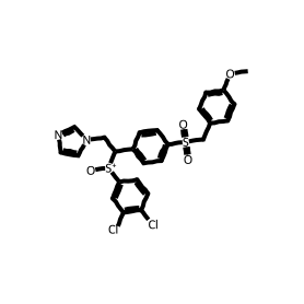 COc1ccc(CS(=O)(=O)c2ccc(C(Cn3ccnc3)[S+]([O-])c3ccc(Cl)c(Cl)c3)cc2)cc1